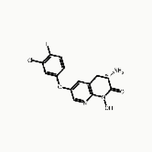 N[C@H]1Cc2cc(Oc3ccc(F)c(Cl)c3)cnc2N(O)C1=O